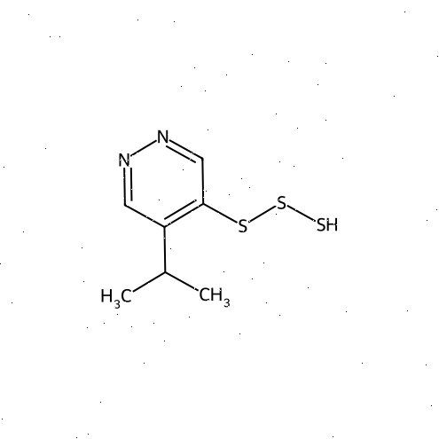 CC(C)c1cnncc1SSS